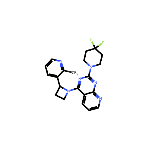 FC1(F)CCN(c2nc(N3CCC3c3cccnc3C(F)(F)F)c3cccnc3n2)CC1